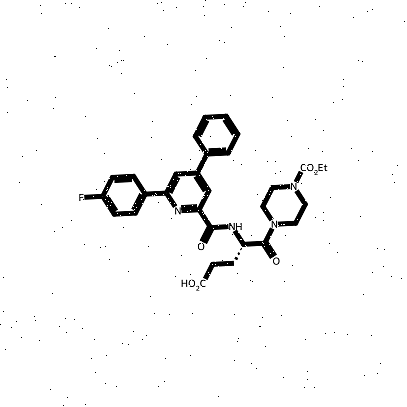 CCOC(=O)N1CCN(C(=O)[C@H](CCC(=O)O)NC(=O)c2cc(-c3ccccc3)cc(-c3ccc(F)cc3)n2)CC1